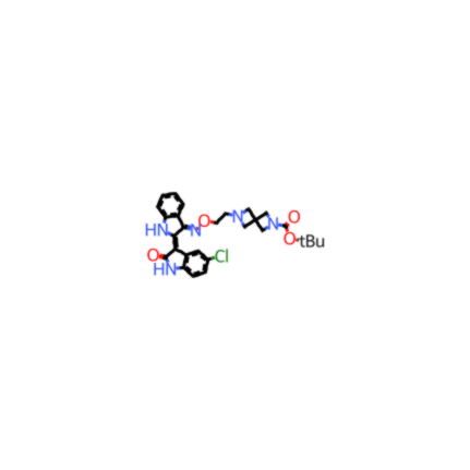 CC(C)(C)OC(=O)N1CC2(CN(CCO/N=C3/C(=C4/C(=O)Nc5ccc(Cl)cc54)Nc4ccccc43)C2)C1